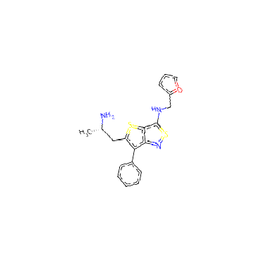 C[C@H](N)Cc1sc2c(NCc3ccco3)snc2c1-c1ccccc1